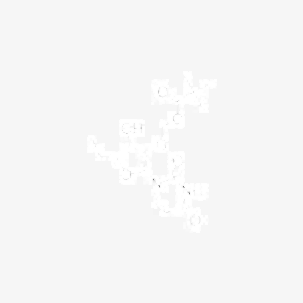 CC[C@H]1O[C@@H](n2ccc(=O)[nH]c2=O)[C@@H](OCOC(=O)C(C)(C)C)C1O